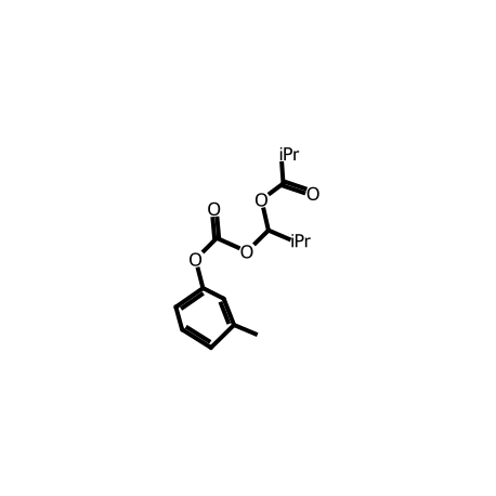 Cc1cccc(OC(=O)OC(OC(=O)C(C)C)C(C)C)c1